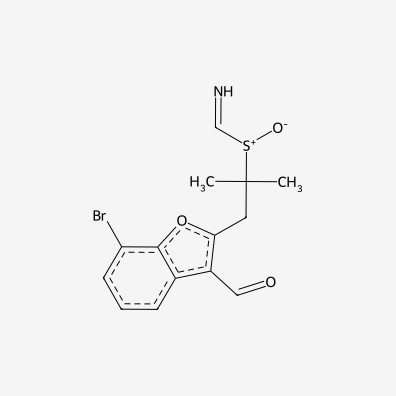 CC(C)(Cc1oc2c(Br)cccc2c1C=O)[S+]([O-])C=N